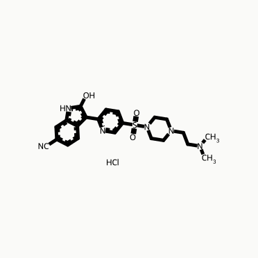 CN(C)CCN1CCN(S(=O)(=O)c2ccc(-c3c(O)[nH]c4cc(C#N)ccc34)nc2)CC1.Cl